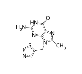 Cc1nc2c(=O)[nH]c(N)nc2n1Cc1cncs1